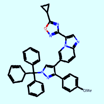 COc1ccc(-c2nn(C(c3ccccc3)(c3ccccc3)C3C=CC=CC3)cc2-c2ccc3ncc(-c4noc(C5CC5)n4)n3c2)cc1